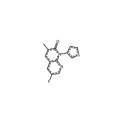 Cc1cc2cc(F)cnc2n(-c2ccsc2)c1=O